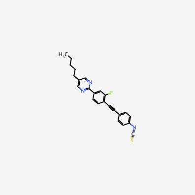 CCCCCc1cnc(-c2ccc(C#Cc3ccc(N=C=S)cc3)c(F)c2)nc1